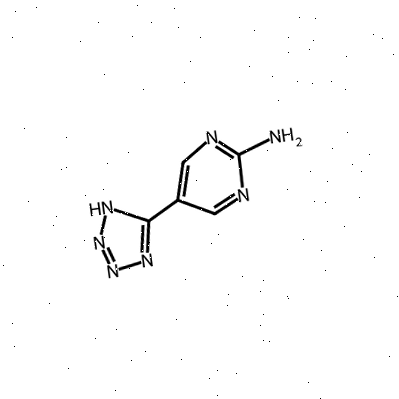 Nc1ncc(-c2nnn[nH]2)cn1